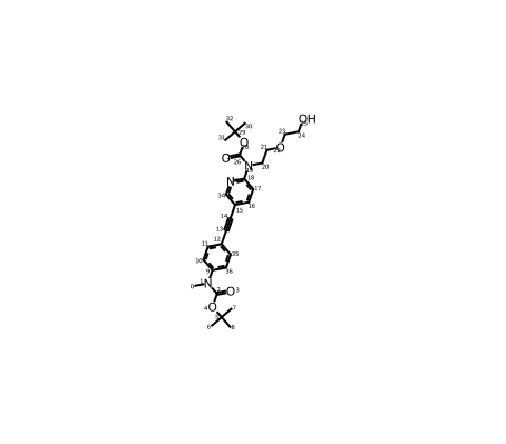 CN(C(=O)OC(C)(C)C)c1ccc(C#Cc2ccc(N(CCOCCO)C(=O)OC(C)(C)C)nc2)cc1